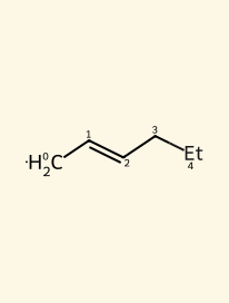 [CH2]/C=C/CC[CH2]